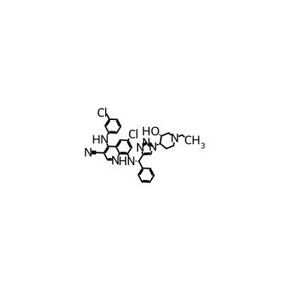 CCN1CC[C@@H](n2cc([C@@H](Nc3cc(Cl)cc4c(Nc5cccc(Cl)c5)c(C#N)cnc34)c3ccccc3)nn2)[C@H](O)C1